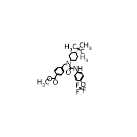 COC(=O)c1ccc(CN(C(=O)Nc2ccc(OC(F)(F)F)cc2)[C@H]2CC[C@@H](C(C)(C)C)CC2)cc1